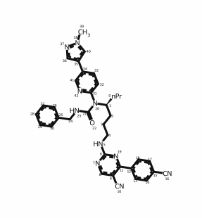 CCC[C@@H](CCCNc1ncc(C#N)c(-c2ccc(C#N)cc2)n1)N(C(=O)NCc1ccccc1)c1ccc(-c2cnn(C)c2)cn1